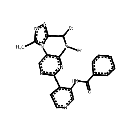 CCC1c2nnc(C)n2-c2cnc(-c3ccncc3NC(=O)c3ccccc3)nc2N1C(C)C